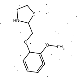 COC1=C=CC=CC1OCC1NCCS1